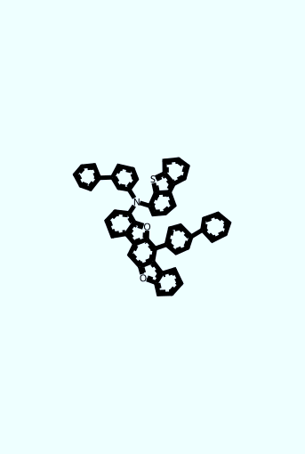 c1ccc(-c2ccc(-c3c4oc5c(N(c6cccc(-c7ccccc7)c6)c6cccc7c6sc6ccccc67)cccc5c4cc4oc5ccccc5c34)cc2)cc1